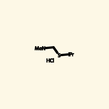 CNCSC(C)C.Cl